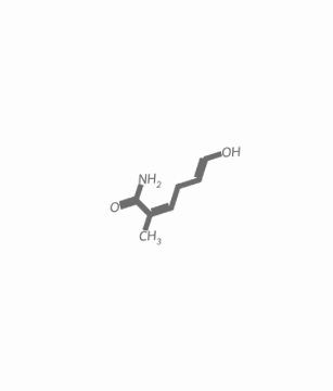 CC(=CCC=CO)C(N)=O